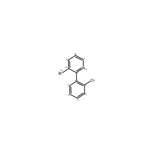 Clc1[c]cccc1-c1ncccc1Br